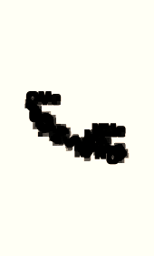 CNc1nc2c(cnn2CCN2CCN(c3ccc(OCCOC)cc3)CC2)c2nc(-c3ccco3)nn12